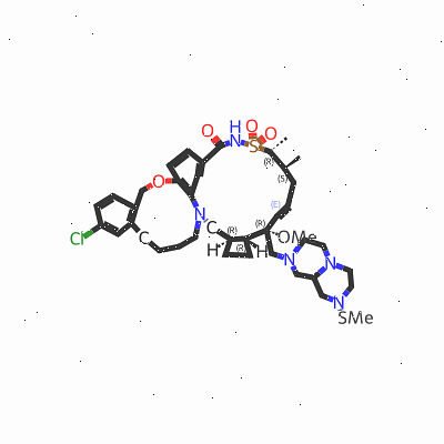 CO[C@@]1(CN2CCN3CCN(SC)CC3C2)/C=C/C[C@H](C)[C@@H](C)S(=O)(=O)NC(=O)c2ccc3c(c2)N(CCCCc2cc(Cl)ccc2CO3)C[C@@H]2CC[C@H]21